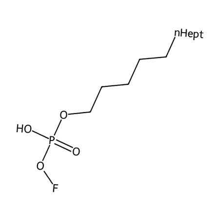 CCCCCCCCCCCCOP(=O)(O)OF